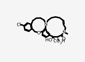 C[C@@H]1C(=O)N(C)C/C=C/CCCCN2CCCCc3cc(Cl)ccc3COc3ccc(cc32)[C@]1(O)C(=O)O